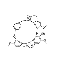 COc1ccc2cc1Oc1ccc(cc1)CC[C@H]1c3cc(c(OC)cc3CCN1C)Oc1c(O)c(OC)cc3c1[C@H](C2)N(C)CC3